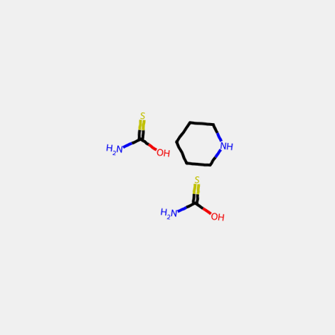 C1CCNCC1.NC(O)=S.NC(O)=S